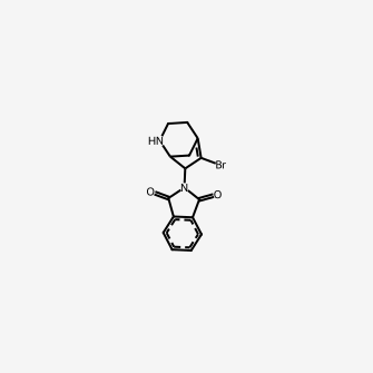 O=C1c2ccccc2C(=O)N1C1C(Br)=C2CCNC1C2